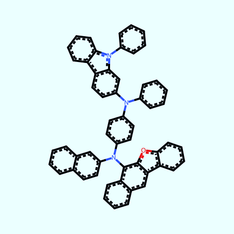 c1ccc(N(c2ccc(N(c3ccc4ccccc4c3)c3c4ccccc4cc4c3oc3ccccc34)cc2)c2ccc3c4ccccc4n(-c4ccccc4)c3c2)cc1